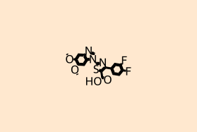 COc1cc2ncn(-c3nc(-c4ccc(F)c(F)c4)c(C(=O)O)s3)c2cc1OC